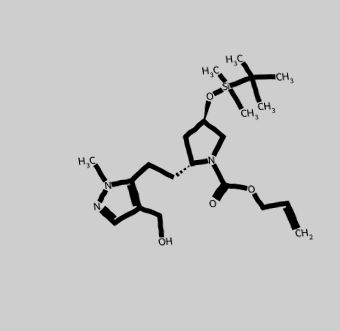 C=CCOC(=O)N1C[C@H](O[Si](C)(C)C(C)(C)C)C[C@H]1CCc1c(CO)cnn1C